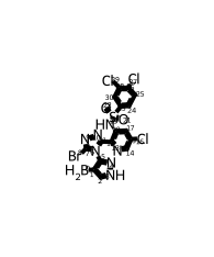 Bc1c[nH]nc1-n1c(Br)nnc1-c1ncc(Cl)cc1NS(=O)(=O)c1ccc(Cl)c(Cl)c1